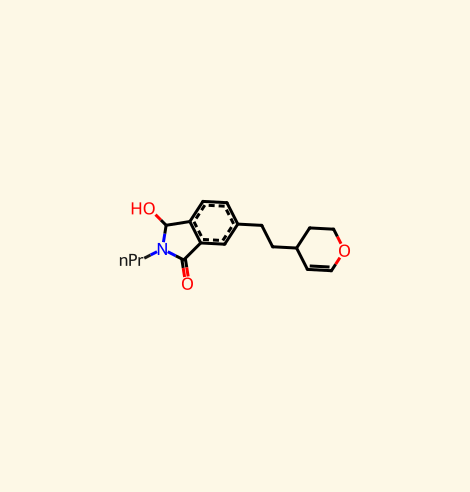 CCCN1C(=O)c2cc(CCC3C=COCC3)ccc2C1O